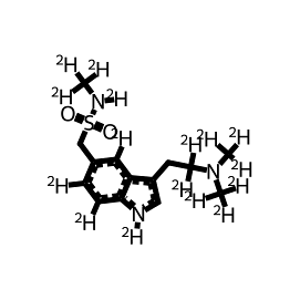 [2H]c1c(CS(=O)(=O)N([2H])C([2H])([2H])[2H])c([2H])c2c(CC([2H])([2H])N(C([2H])([2H])[2H])C([2H])([2H])[2H])cn([2H])c2c1[2H]